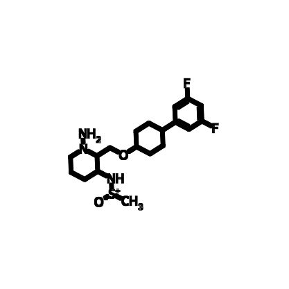 C[S+]([O-])NC1CCCN(N)C1COC1CCC(c2cc(F)cc(F)c2)CC1